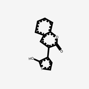 O=c1oc2ccccc2cc1-c1ccsc1O